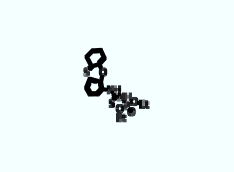 CCOP(=O)(NC(=S)Nc1ccccc1OC1=CC=CCC1=S)OCC